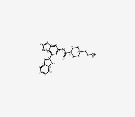 O=C(Nc1cc(-c2cc3ccccc3s2)c2[nH]ncc2c1)N1CCN(CCO)CC1